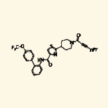 CCCC#CC(=O)N1CCC(c2nc(C(=O)Nc3ccccc3-c3ccc(OC(F)(F)F)cc3)cs2)CC1